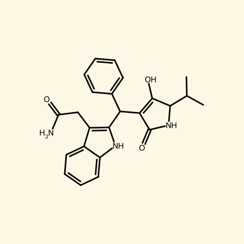 CC(C)C1NC(=O)C(C(c2ccccc2)c2[nH]c3ccccc3c2CC(N)=O)=C1O